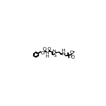 COC(=O)C(C)(C)CNCCc1nc(C(=O)NC(=O)OCc2ccccc2)cs1